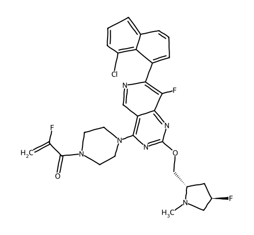 C=C(F)C(=O)N1CCN(c2nc(OC[C@@H]3C[C@@H](F)CN3C)nc3c(F)c(-c4cccc5cccc(Cl)c45)ncc23)CC1